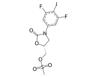 CS(=O)(=O)OC[C@H]1CN(c2cc(F)c(I)c(F)c2)C(=O)O1